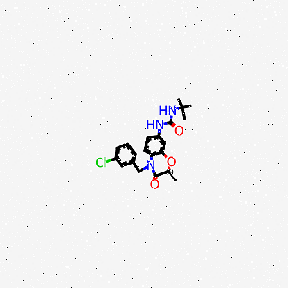 C[C@@H]1Oc2cc(NC(=O)NC(C)(C)C)ccc2N(Cc2cccc(Cl)c2)C1=O